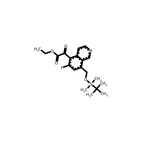 CCOC(=O)C(=O)c1c(F)cc(CO[Si](C)(C)C(C)(C)C)c2cnccc12